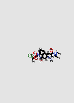 CCN(CC)C(=O)C1C=C2c3cccc4c3c(c(Br)n4C(=O)OC(C)Cl)CC2N(C)C1